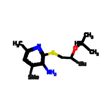 CSc1cc(C)nc(SCC(O[SiH](C)C)C(C)(C)C)c1N